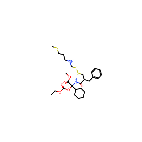 CCOC(=O)OC(NC(=O)C(CSSCNCCCSC)Cc1ccccc1)(C(=O)OC)C1CCCCC1